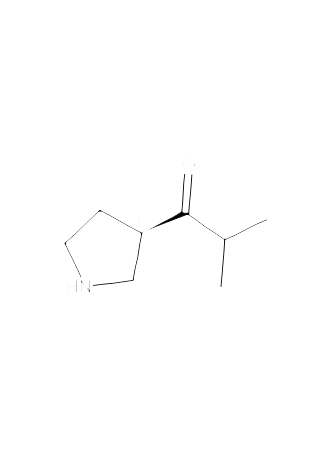 CC(C)C(=O)[C@@H]1CCNC1